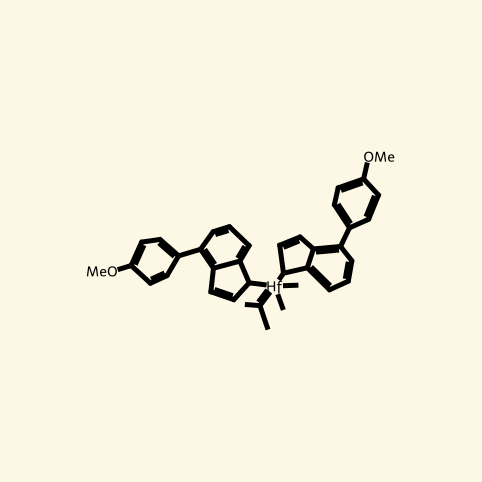 COc1ccc(-c2cccc3c2C=C[CH]3[Hf]([CH3])([CH3])(=[C](C)C)[CH]2C=Cc3c(-c4ccc(OC)cc4)cccc32)cc1